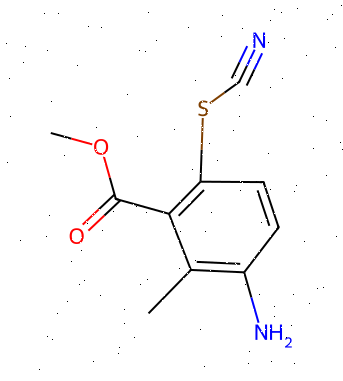 COC(=O)c1c(SC#N)ccc(N)c1C